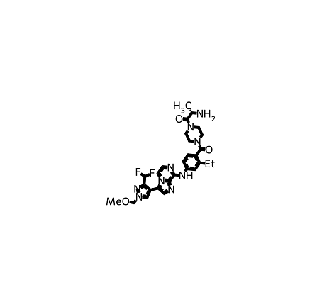 CCc1cc(Nc2nccn3c(-c4cn(COC)nc4C(F)F)cnc23)ccc1C(=O)N1CCN(C(=O)[C@@H](C)N)CC1